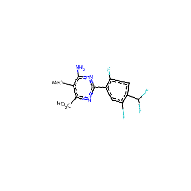 COc1c(N)nc(-c2cc(F)c(C(F)F)cc2F)nc1C(=O)O